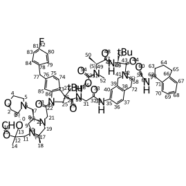 C[C@@H]1COCCN1C[C@@H]1CN(CC(C)(C)OC=O)[C@H](C)CN1CC(=O)N1CC(C)(C(=O)NCC(=O)Nc2ccc3c(c2)CN(C(=O)[C@@H](NC(=O)[C@H](C)N(C)C(=O)OC(C)(C)C)C(C)(C)C)[C@H](C(=O)N[C@@H]2CCCc4ccccc42)C3)c2ccc(Cc3ccc(F)cc3)cc21